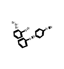 N#[N+]c1ccccc1.N#[N+]c1ccccc1.N#[N+]c1ccccc1.[Br-].[Br-].[Br-]